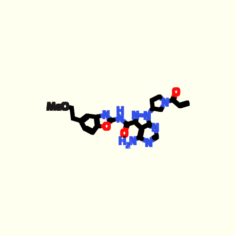 C=CC(=O)N1CCC(n2nc(C(=O)Nc3nc4cc(CCOC)ccc4o3)c3c(N)ncnc32)C1